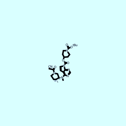 C[C@@H]1CCN(C(=O)CC#N)C[C@@H]1N(C)c1ncnc2c1ccn2C(=O)OC1CCN(C(=O)OC(C)(C)C)CC1